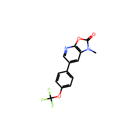 Cn1c(=O)oc2ncc(-c3ccc(OC(F)(F)F)cc3)cc21